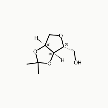 CC1(C)O[C@H]2[C@H](CO[C@@H]2CO)O1